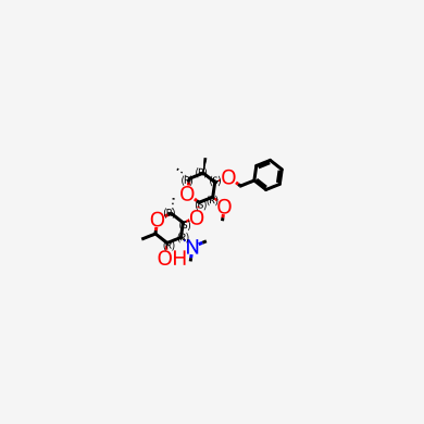 CO[C@H]1[C@H](O[C@H]2[C@H](N(C)C)[C@@H](O)C(C)O[C@@H]2C)O[C@H](C)[C@@H](C)[C@@H]1OCc1ccccc1